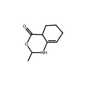 CC1NC2=CCCCC2C(=O)O1